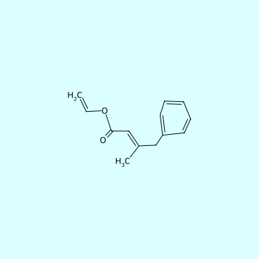 C=COC(=O)C=C(C)Cc1ccccc1